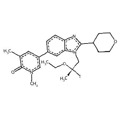 CCO[C@@](C)(I)Cn1c(C2CCOCC2)nc2ccc(-c3cc(C)c(=O)n(C)c3)cc21